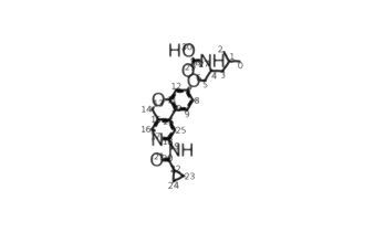 CC(C)CC(COc1ccc2c(c1)OCc1cnc(NC(=O)C3CC3)cc1-2)NC(=O)O